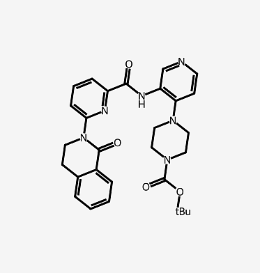 CC(C)(C)OC(=O)N1CCN(c2ccncc2NC(=O)c2cccc(N3CCc4ccccc4C3=O)n2)CC1